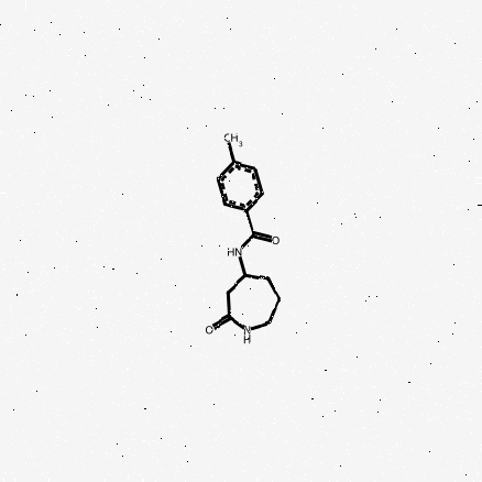 Cc1ccc(C(=O)NC2CCCNC(=O)C2)cc1